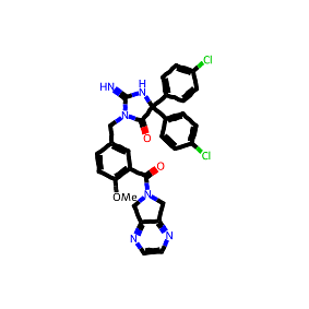 COc1ccc(CN2C(=N)NC(c3ccc(Cl)cc3)(c3ccc(Cl)cc3)C2=O)cc1C(=O)N1Cc2nccnc2C1